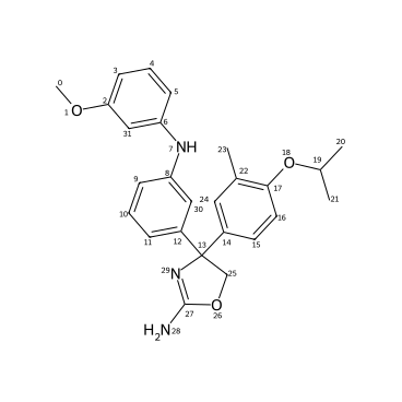 COc1cccc(Nc2cccc(C3(c4ccc(OC(C)C)c(C)c4)COC(N)=N3)c2)c1